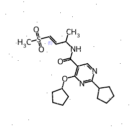 CC(/C=C/S(C)(=O)=O)NC(=O)c1cnc(C2CCCC2)nc1OC1CCCC1